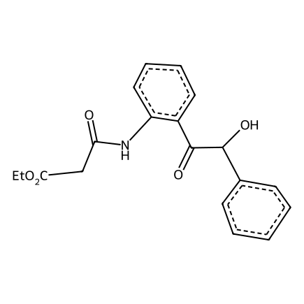 CCOC(=O)CC(=O)Nc1ccccc1C(=O)C(O)c1ccccc1